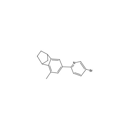 Cc1cc(-c2ccc(Br)cn2)cc2c1C1CCC2C1